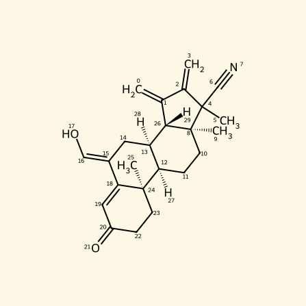 C=C1C(=C)C(C)(C#N)[C@@]2(C)CC[C@@H]3[C@@H](CC(=CO)C4=CC(=O)CC[C@@]43C)[C@H]12